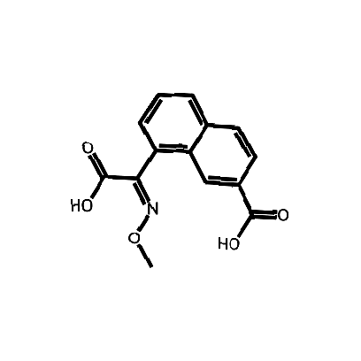 CON=C(C(=O)O)c1cccc2ccc(C(=O)O)cc12